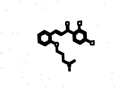 CN(C)CCCOc1ccccc1C=CC(=O)c1ccc(Cl)cc1Cl